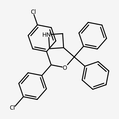 Clc1ccc(C(OC(c2ccccc2)(c2ccccc2)C2CNC2)c2ccc(Cl)cc2)cc1